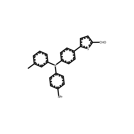 CCCc1ccc(N(c2ccc(-c3ccc(C=O)s3)cc2)c2cccc(C)c2)cc1